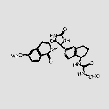 COc1ccc2c(c1)CCN(C[C@@]1(c3ccc4c(c3)CCCC4NC(=O)NC=O)NC(=O)NC1=O)C2=O